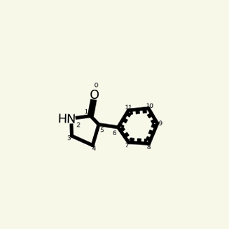 O=C1NCCC1c1ccccc1